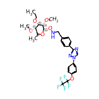 CCO[C@@H]1[C@H](OC)[C@H](ONCc2ccc(-c3ncn(-c4ccc(OC(F)(F)C(F)(F)F)cc4)n3)cc2)O[C@@H](C)[C@@H]1OC